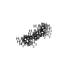 Bc1c(B)c(-c2c(B)c(B)c(B)c3c2oc2c(B)c(B)c(B)c(B)c23)c(B)c(-c2ncnc3c2sc2ccc(-c4c(B)c(B)c(B)c5c(B)c(B)c(B)c(B)c45)cc23)c1B